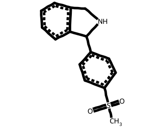 CS(=O)(=O)c1ccc(C2NCc3ccccc32)cc1